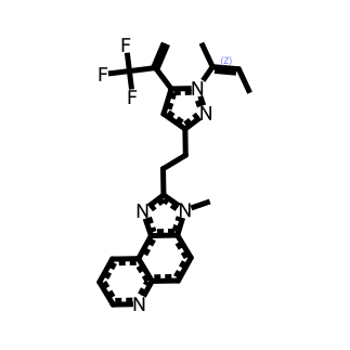 C=C(c1cc(CCc2nc3c4cccnc4ccc3n2C)nn1/C(C)=C\C)C(F)(F)F